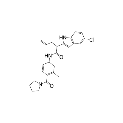 C=CCC(C(=O)NC1C=CC(C(=O)N2CCCC2)=C(C)C1)c1cc2cc(Cl)ccc2[nH]1